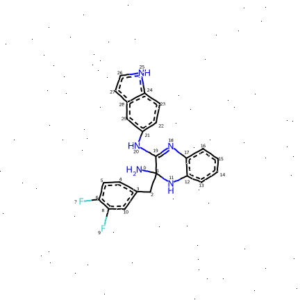 NC1(Cc2ccc(F)c(F)c2)Nc2ccccc2N=C1Nc1ccc2[nH]ccc2c1